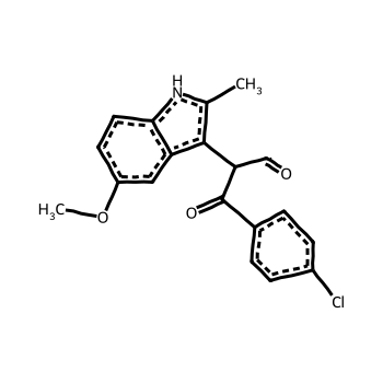 COc1ccc2[nH]c(C)c(C([C]=O)C(=O)c3ccc(Cl)cc3)c2c1